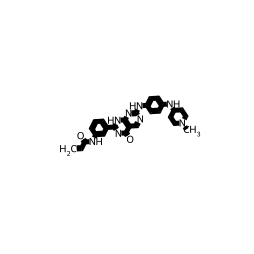 C=CC(=O)Nc1cccc(-c2nc(=O)c3cnc(Nc4ccc(NC5CCN(C)CC5)cc4)nc3[nH]2)c1